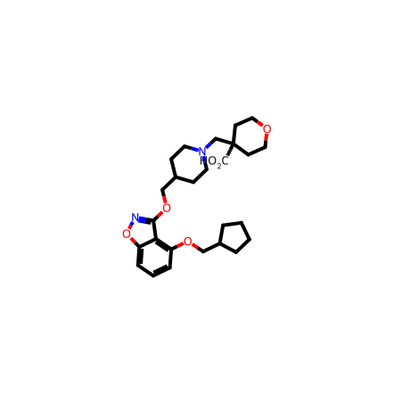 O=C(O)C1(CN2CCC(COc3noc4cccc(OCC5CCCC5)c34)CC2)CCOCC1